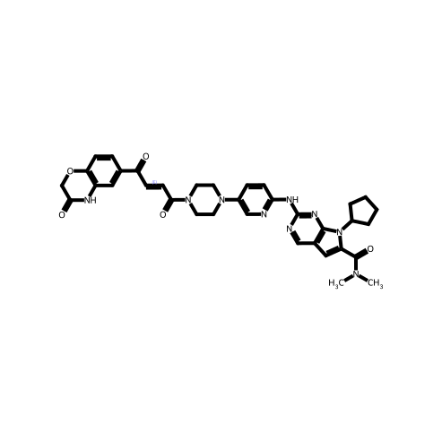 CN(C)C(=O)c1cc2cnc(Nc3ccc(N4CCN(C(=O)/C=C/C(=O)c5ccc6c(c5)NC(=O)CO6)CC4)cn3)nc2n1C1CCCC1